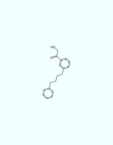 O=C(CO)c1cccc(CCCCc2ccccc2)c1